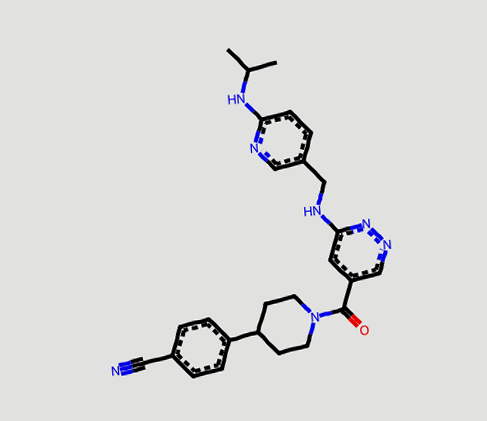 CC(C)Nc1ccc(CNc2cc(C(=O)N3CCC(c4ccc(C#N)cc4)CC3)cnn2)cn1